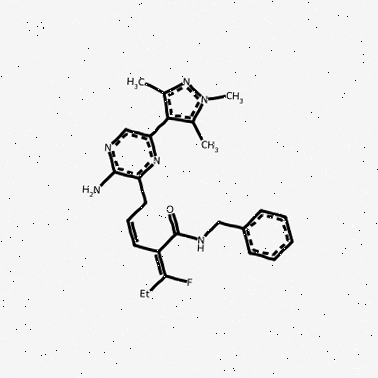 CC/C(F)=C(\C=C/Cc1nc(-c2c(C)nn(C)c2C)cnc1N)C(=O)NCc1ccccc1